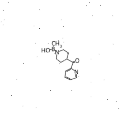 CB(O)N1CCC(C(=O)c2ccccn2)CC1